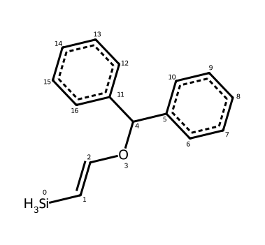 [SiH3]C=COC(c1ccccc1)c1ccccc1